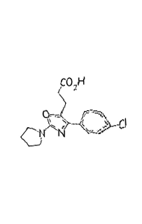 O=C(O)CCc1oc(N2CCCC2)nc1-c1ccc(Cl)cc1